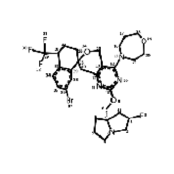 F[C@H]1CN2CCC[C@@]2(COc2nc3c(c(N4CCCOCC4)n2)COC2(CC[C@H](C(F)(F)F)c4ccc(Br)cc42)C3)C1